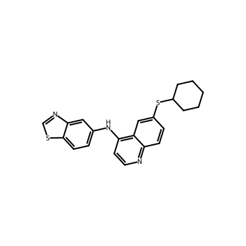 c1cc(Nc2ccc3scnc3c2)c2cc(SC3CCCCC3)ccc2n1